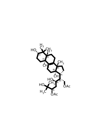 CC(=O)OC[C@H]([C@H](O)C[C@@H](OC(C)=O)C(C)(C)O)[C@H]1CC[C@@]2(C)C3=C(CC[C@]12C)[C@@]1(C)CC[C@H](O)C(C)(C)[C@@H]1CC3